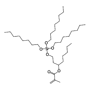 C=C(C)C(=O)OC(CCCCC)CCO[Si](OCCCCCCCC)(OCCCCCCCC)OCCCCCCCC